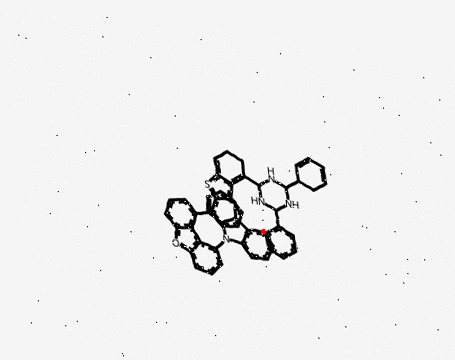 C1=CCC(C2NC(C3=c4c(sc5c(-c6cccc7oc8cccc(N9c%10ccccc%10C%10C=CC=CC%109)c8c67)cccc45)=CCC3)NC(c3ccccc3)N2)C=C1